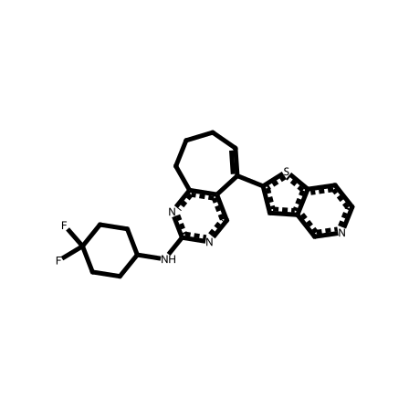 FC1(F)CCC(Nc2ncc3c(n2)CCCC=C3c2cc3cnccc3s2)CC1